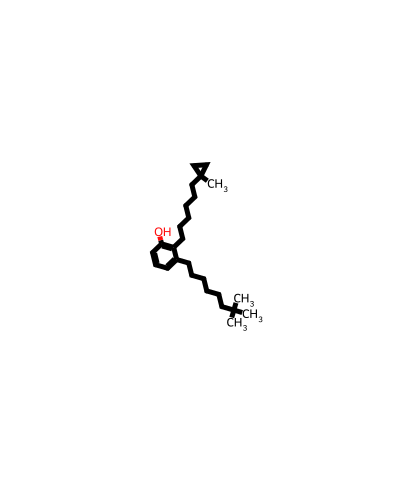 CC(C)(C)CCCCCCc1cccc(O)c1CCCCCCC1(C)CC1